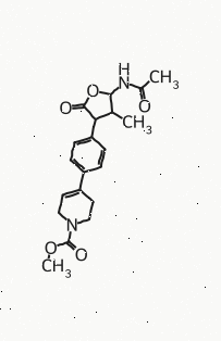 COC(=O)N1CC=C(c2ccc(C3C(=O)OC(NC(C)=O)C3C)cc2)CC1